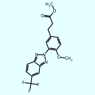 COC(=O)CCc1ccc(OC)c(-n2nc3ccc(C(F)(F)F)cc3n2)c1